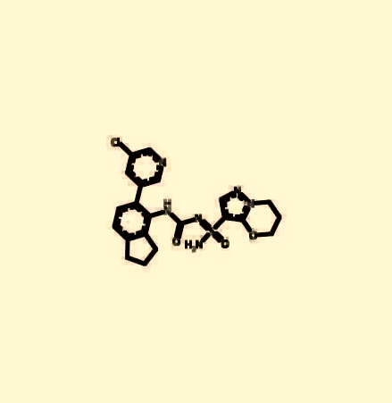 NS(=O)(=NC(=O)Nc1c(-c2cncc(Cl)c2)ccc2c1CCC2)c1cnn2c1OCCC2